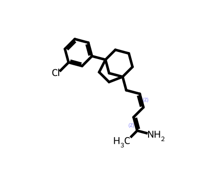 C/C(N)=C/C=C\CC12CCCC(c3cccc(Cl)c3)(CC1)C2